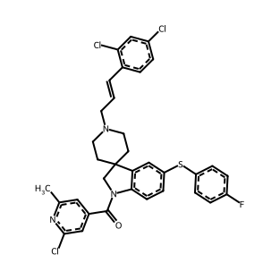 Cc1cc(C(=O)N2CC3(CCN(CC=Cc4ccc(Cl)cc4Cl)CC3)c3cc(Sc4ccc(F)cc4)ccc32)cc(Cl)n1